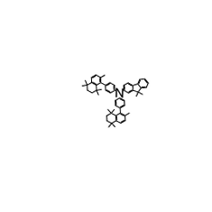 Cc1ccc2c(c1-c1ccc(N(c3ccc(-c4c(C)ccc5c4C(C)(C)CCC5(C)C)cc3)c3ccc4c(c3)C(C)(C)c3ccccc3-4)cc1)C(C)(C)CCC2(C)C